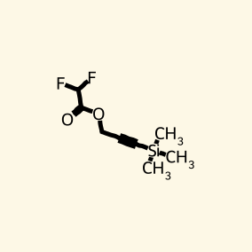 C[Si](C)(C)C#CCOC(=O)C(F)F